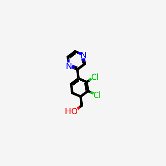 OCC1CC=C(c2cnccn2)C(Cl)=C1Cl